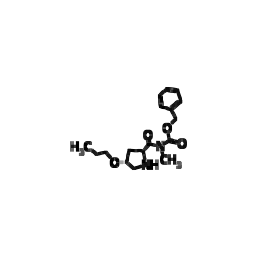 CCCO[C@H]1CN[C@H](C(=O)N(C)C(=O)OCc2ccccc2)C1